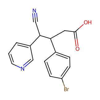 N#CC(c1cccnc1)C(CC(=O)O)c1ccc(Br)cc1